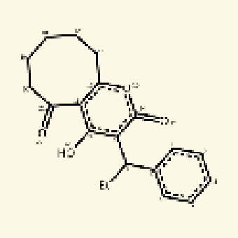 CCC(c1ccccc1)c1c(O)c2c(oc1=O)CCCCCC2=O